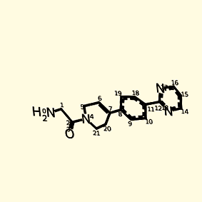 NCC(=O)N1CC=C(c2ccc(-c3ncccn3)cc2)CC1